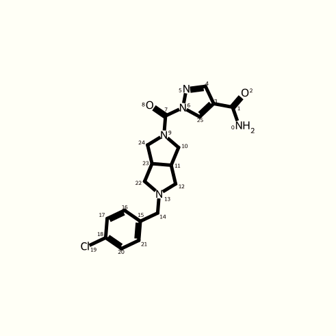 NC(=O)c1cnn(C(=O)N2CC3CN(Cc4ccc(Cl)cc4)CC3C2)c1